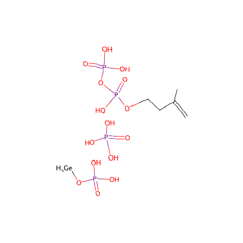 C=C(C)CCOP(=O)(O)OP(=O)(O)O.O=P(O)(O)O.O=P(O)(O)[O][GeH3]